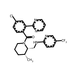 C[C@@H]1CCCN(C(=O)c2ccc(Cl)cc2-c2ncccn2)[C@@H]1CNc1ccc(C(F)(F)F)cn1